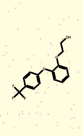 OCCOc1ccccc1Oc1ccc(C(F)(F)F)cc1